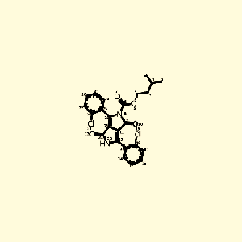 CC(C)CCOC(=O)N1C(=O)C2=C(c3ccccc3Cl)NC(=O)C2=C1c1ccccc1Cl